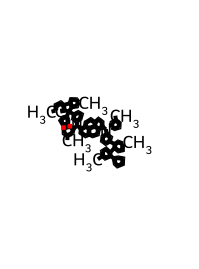 Cc1cccc(N(c2cccc(-c3cc(C)ccc3-c3ccc(C)cc3-c3ccccc3)c2)c2ccc3ccc4c(N(c5cccc(C)c5)c5cccc(C6(c7ccccc7)c7cc(C)ccc7-c7ccc(C)cc76)c5)ccc5ccc2c3c54)c1